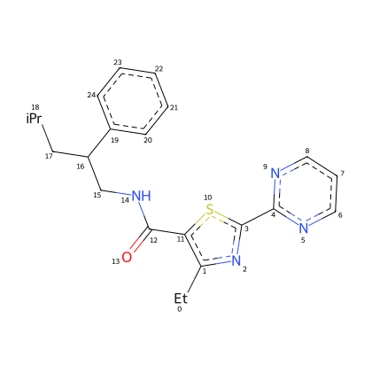 CCc1nc(-c2ncccn2)sc1C(=O)NCC(CC(C)C)c1ccccc1